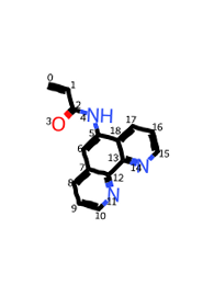 C=CC(=O)Nc1cc2cccnc2c2ncccc12